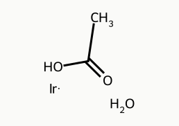 CC(=O)O.O.[Ir]